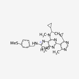 CSc1ccc(CN/C(C=O)=N/c2c(C)nc(-c3c(C)ncnc3C3CC3)nc2N(C)C(C)C2CC2)cc1